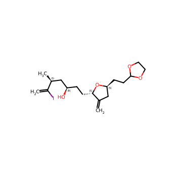 C=C1C[C@H](CCC2OCCO2)O[C@H]1CC[C@@H](O)C[C@H](C)C(=C)I